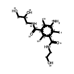 Nc1c(I)c(C(=O)NCCO)c(I)c(C(=O)NCC(O)CO)c1I